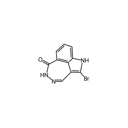 O=C1NN=Cc2c(Br)[nH]c3cccc1c23